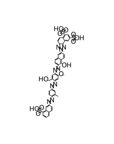 COc1cc(N=Nc2ccc(N=Nc3ccc4cccc(S(=O)(=O)O)c4c3)c(C)c2)c(CO)cc1N=Nc1ccc2cc(-n3nc4ccc5c(S(=O)(=O)O)cc(S(=O)(=O)O)cc5c4n3)ccc2c1O